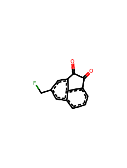 O=C1C(=O)c2cc(CF)cc3cccc1c23